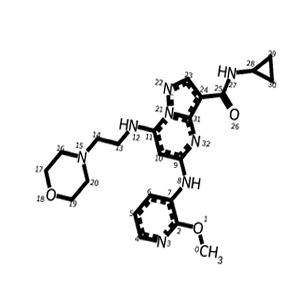 COc1ncccc1Nc1cc(NCCN2CCOCC2)n2ncc(C(=O)NC3CC3)c2n1